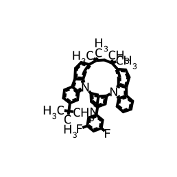 CC(C)(C)c1ccc2c3ccc4cc3n(c2c1)-c1cc(-c2cc(F)cc(F)c2)cc(c1C#N)-n1c2ccccc2c2ccc(cc21)C(C)(C)CC4(C)C